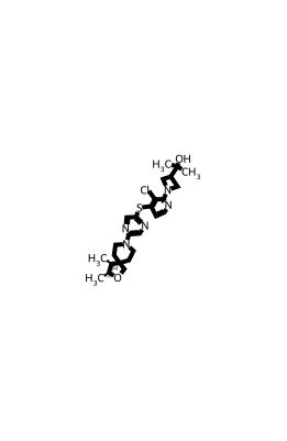 C[C@@H]1OCC2(CCN(c3cnc(Sc4ccnc(N5CC(C(C)(C)O)C5)c4Cl)cn3)CC2)[C@@H]1C